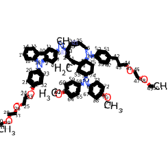 C=C1/C=C(N(C)c2ccc3c(c2)c2ccccc2n3-c2ccc(OCCOCCOCC)cc2)\C=C/CN(c2ccc(CCCOCCOCC)cc2)C2=C1C=C(N(c1ccc(OC)cc1)c1ccc(OC)cc1)CC2